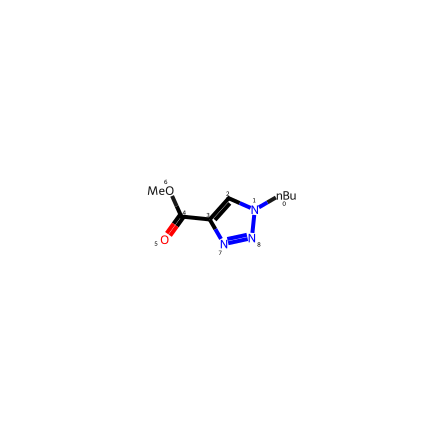 CCCCn1cc(C(=O)OC)nn1